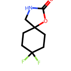 O=C1NCC2(CCC(F)(F)CC2)O1